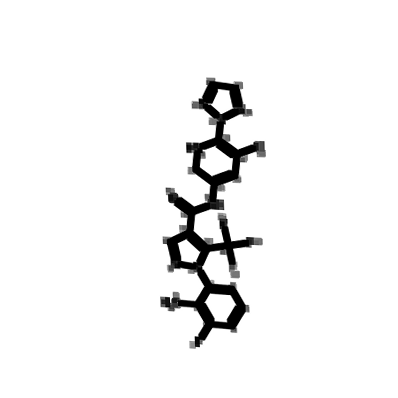 Cc1c(F)cccc1-n1ncc(C(=O)NC2=CC(Cl)=C(n3nccn3)NC2)c1C(F)(F)F